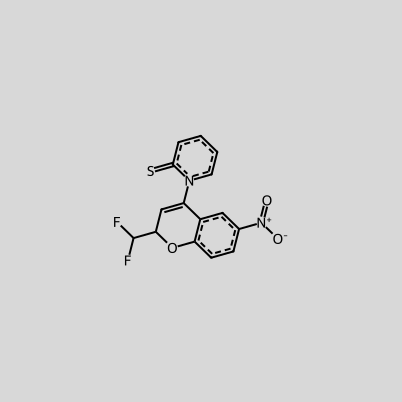 O=[N+]([O-])c1ccc2c(c1)C(n1ccccc1=S)=CC(C(F)F)O2